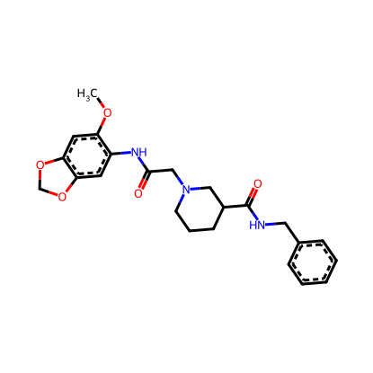 COc1cc2c(cc1NC(=O)CN1CCCC(C(=O)NCc3ccccc3)C1)OCO2